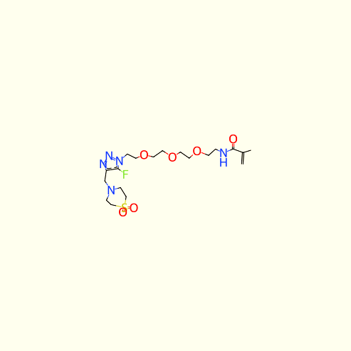 C=C(C)C(=O)NCCOCCOCCOCCn1nnc(CN2CCS(=O)(=O)CC2)c1F